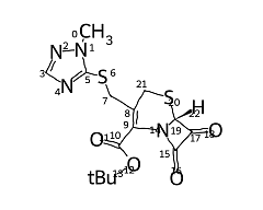 Cn1ncnc1SCC1=C(C(=O)OC(C)(C)C)N2C(=O)C(=O)[C@H]2SC1